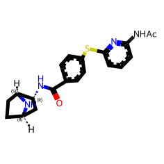 CC(=O)Nc1cccc(Sc2ccc(C(=O)N[C@@H]3C[C@H]4CC[C@@H]3N4)cc2)n1